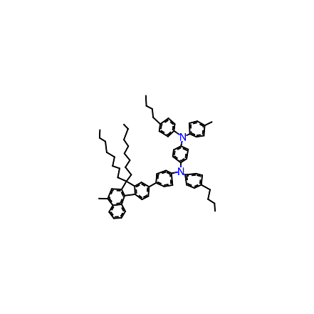 CCCCCCCCC1(CCCCCCCC)c2cc(-c3ccc(N(c4ccc(CCCC)cc4)c4ccc(N(c5ccc(C)cc5)c5ccc(CCCC)cc5)cc4)cc3)ccc2-c2c1cc(C)c1ccccc21